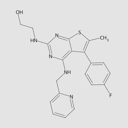 Cc1sc2nc(NCCO)nc(NCc3ccccn3)c2c1-c1ccc(F)cc1